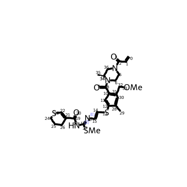 C=CC(=O)N1CCN(C(=O)c2cc(S/C=C/N=C(/NC(=O)C3=CSCCC3)SC)c(C)cc2COC)[C@@H](C)C1